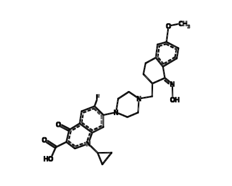 COc1ccc2c(c1)CCC(CN1CCN(c3cc4c(cc3F)c(=O)c(C(=O)O)cn4C3CC3)CC1)C2=NO